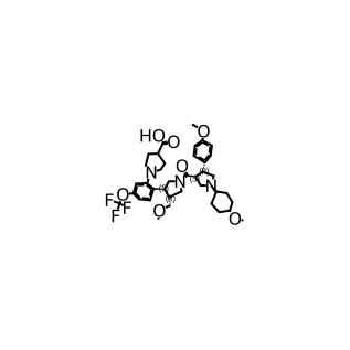 COC[C@H]1CN(C(=O)[C@@H]2CN([C@H]3CC[C@H](OC)CC3)C[C@H]2c2ccc(OC)cc2)C[C@@H]1c1ccc(OC(F)(F)F)cc1N1CCC(C(=O)O)CC1